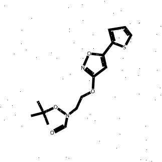 CC(C)(C)ON(C=O)CCOc1cc(-c2cccs2)on1